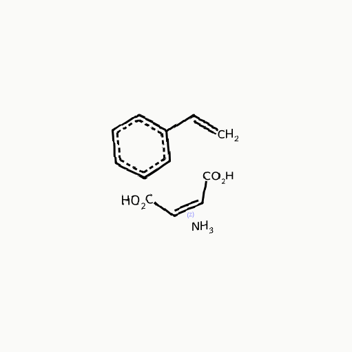 C=Cc1ccccc1.N.O=C(O)/C=C\C(=O)O